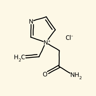 C=C[N+]1(CC(N)=O)C=CN=C1.[Cl-]